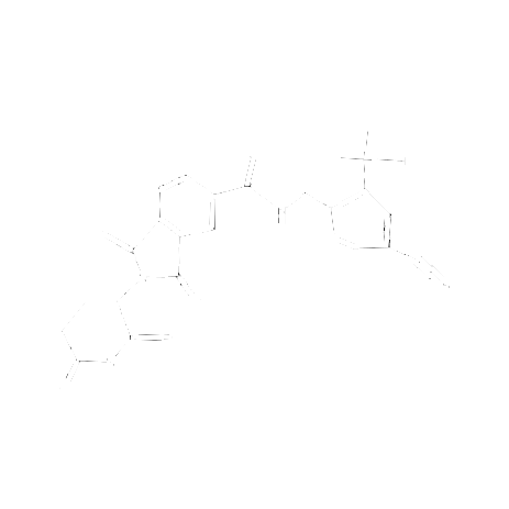 N#Cc1ccc(CNC(=O)c2ccc3c(c2)C(=O)N(C2CCC(=O)NC2=O)C3=O)c(C(F)(F)F)c1